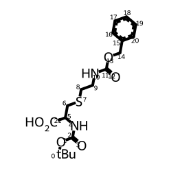 CC(C)(C)OC(=O)NC(CSCCNC(=O)OCc1ccccc1)C(=O)O